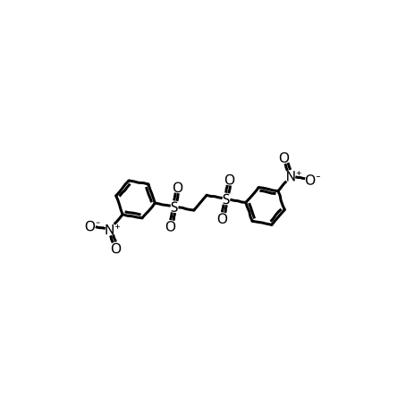 O=[N+]([O-])c1cccc(S(=O)(=O)CCS(=O)(=O)c2cccc([N+](=O)[O-])c2)c1